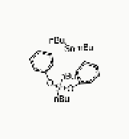 CCC[CH2][Sn]([CH2]CCC)([O]c1ccccc1)[O]c1ccccc1.CCC[CH2][Sn][CH2]CCC